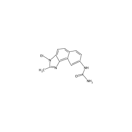 CCn1c(C)nc2c3cc(NC(N)=O)ccc3ccc21